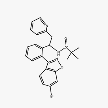 CC(C)(C)[S@+]([O-])NC(Cc1ccccn1)c1ccccc1-c1noc2cc(Br)ccc12